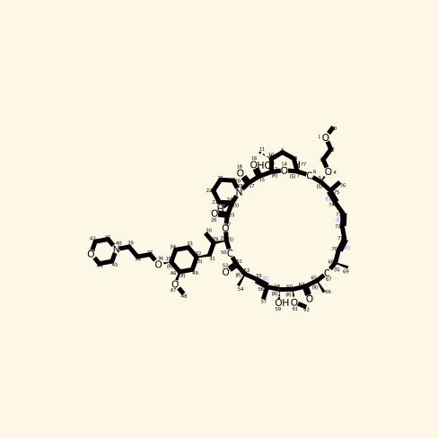 COCCO[C@H]1C[C@@H]2CC[C@@H](C)[C@@](O)(O2)C(=O)C(=O)N2CCCC[C@H]2C(=O)O[C@H](C(C)C[C@@H]2CC[C@@H](OCCCN3CCOCC3)[C@H](OC)C2)CC(=O)[C@H](C)/C=C(\C)[C@@H](O)[C@@H](OC)C(=O)[C@H](C)C[C@H](C)/C=C/C=C/C=C/1C